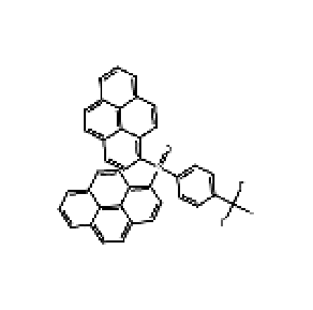 O=P(c1ccc(C(F)(F)F)cc1)(c1ccc2ccc3cccc4ccc1c2c34)c1ccc2ccc3cccc4ccc1c2c34